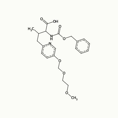 COCCOCOc1ccc(CC(C)C(NC(=O)OCc2ccccc2)C(=O)O)nc1